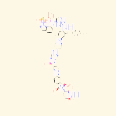 COc1cc(N2CCC(N3CCN(C(=O)[C@H]4CCN(c5ccc6c(c5)C(=O)N(C5CCC(=O)NC5=O)C6=O)C4)CC3)CC2)c(C)cc1Nc1ncc(Br)c(Nc2cccc3c2N(S(C)(=O)=O)CC3)n1